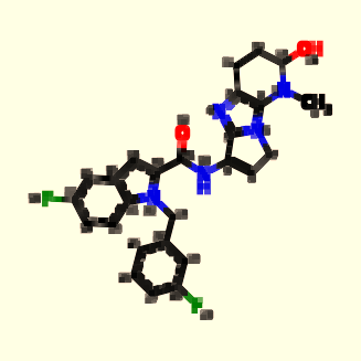 CN1c2c(nc3n2CC=C3NC(=O)c2cc3cc(F)ccc3n2Cc2cccc(F)c2)CCC1O